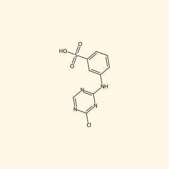 O=S(=O)(O)c1cccc(Nc2ncnc(Cl)n2)c1